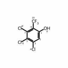 Oc1cc(Cl)c(Cl)c(Cl)c1C(F)(F)F